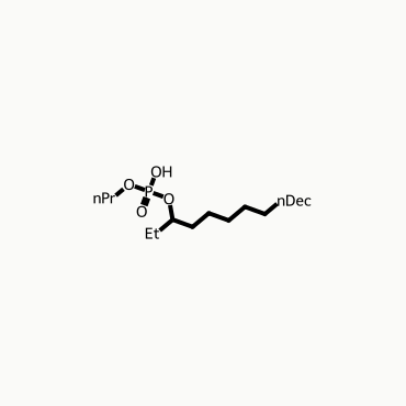 CCCCCCCCCCCCCCCC(CC)OP(=O)(O)OCCC